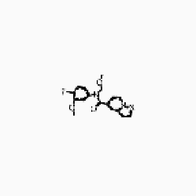 COCN(C(=O)c1ccn2nccc2c1)c1ccc(F)c(OC)c1